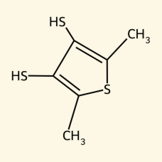 Cc1sc(C)c(S)c1S